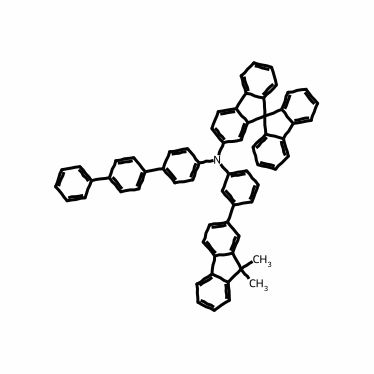 CC1(C)c2ccccc2-c2ccc(-c3cccc(N(c4ccc(-c5ccc(-c6ccccc6)cc5)cc4)c4ccc5c(c4)C4(c6ccccc6-c6ccccc64)c4ccccc4-5)c3)cc21